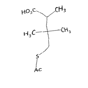 CC(=O)SCC(C)(C)C(C)C(=O)O